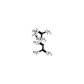 C=C(C)C.C=CC(=C)C.O=NO